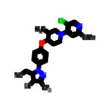 CCC1C(C(F)(F)F)=NN(c2ccc(OC3CCN(c4cc(OC)ncc4Cl)CC3C)cc2)C1CC#N